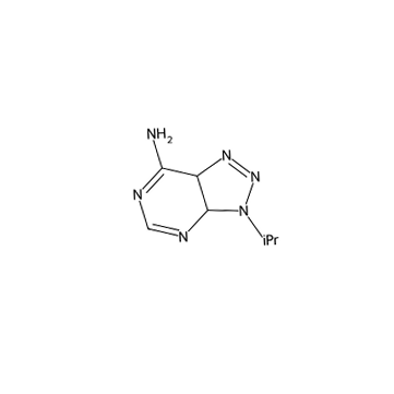 CC(C)N1N=NC2C(N)=NC=NC21